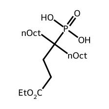 CCCCCCCCC(CCCCCCCC)(CCC(=O)OCC)P(=O)(O)O